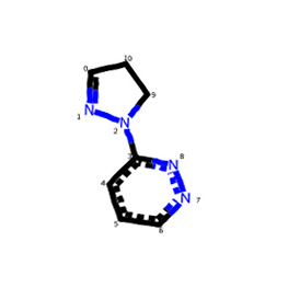 C1=NN(c2cccnn2)CC1